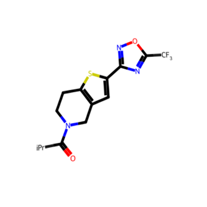 CC(C)C(=O)N1CCc2sc(-c3noc(C(F)(F)F)n3)cc2C1